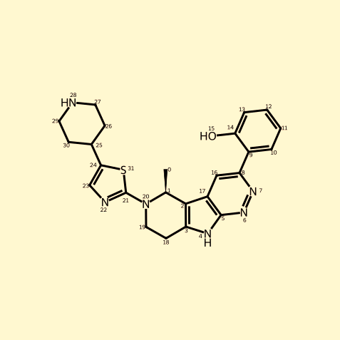 C[C@H]1c2c([nH]c3nnc(-c4ccccc4O)cc23)CCN1c1ncc(C2CCNCC2)s1